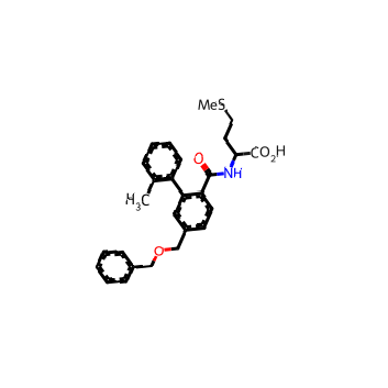 CSCCC(NC(=O)c1ccc(COCc2ccccc2)cc1-c1ccccc1C)C(=O)O